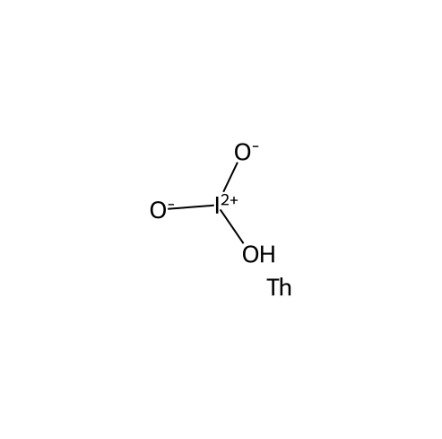 [O-][I+2]([O-])O.[Th]